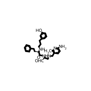 Cc1nc(N)ccc1CNC[C@@H](C=O)NC(=O)[C@@H](CCc1ccccc1)NCCCc1cccc(O)c1